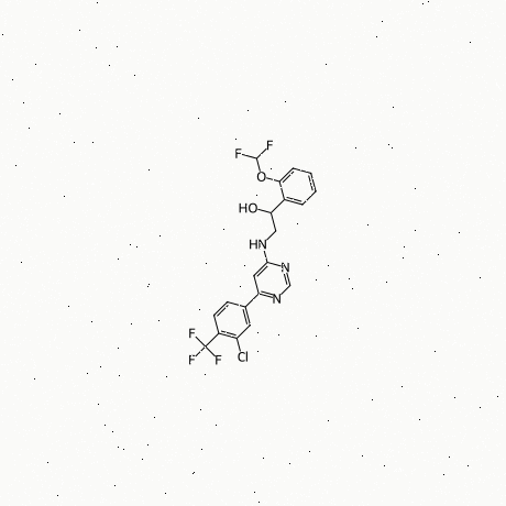 OC(CNc1cc(-c2ccc(C(F)(F)F)c(Cl)c2)ncn1)c1ccccc1OC(F)F